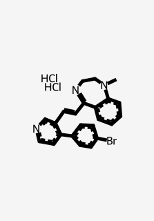 CN1CCN=C(/C=C/c2cnccc2-c2ccc(Br)cc2)c2ccccc21.Cl.Cl